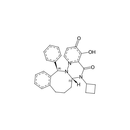 O=C1c2c(O)c(=O)ccn2N2[C@H](c3ccccc3)c3ccccc3CCC[C@H]2N1C1CCC1